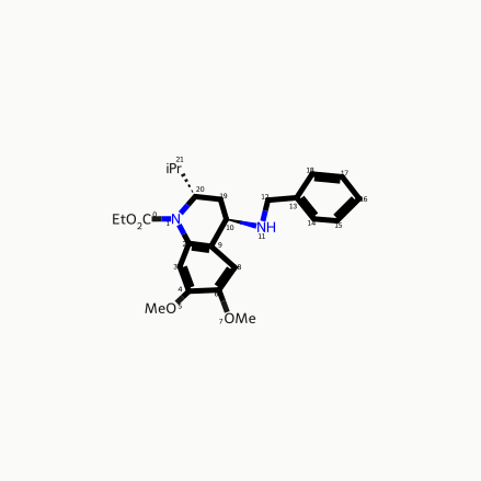 CCOC(=O)N1c2cc(OC)c(OC)cc2[C@H](NCc2ccccc2)C[C@H]1C(C)C